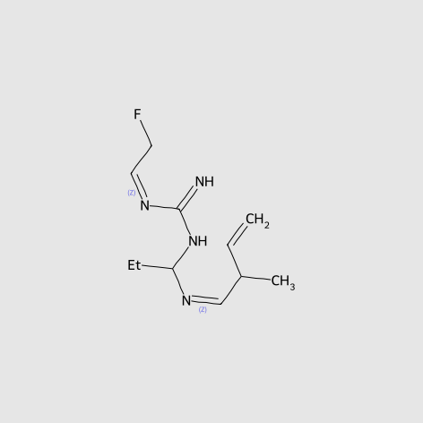 C=CC(C)/C=N\C(CC)NC(=N)/N=C\CF